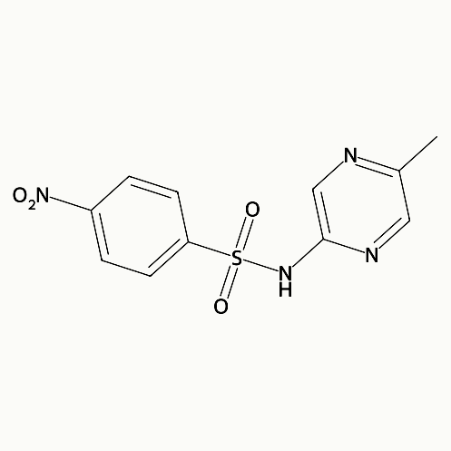 Cc1cnc(NS(=O)(=O)c2ccc([N+](=O)[O-])cc2)cn1